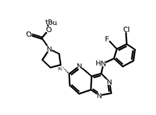 CC(C)(C)OC(=O)N1CC[C@@H](c2ccc3ncnc(Nc4cccc(Cl)c4F)c3n2)C1